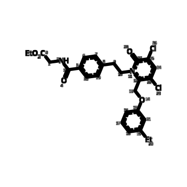 CCOC(=O)CNC(=O)c1ccc(CCn2c(COc3cccc(CC)c3)c(Cl)cc(Cl)c2=O)cc1